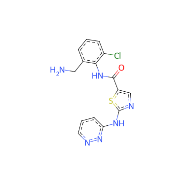 NCc1cccc(Cl)c1NC(=O)c1cnc(Nc2cccnn2)s1